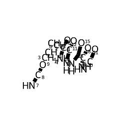 C.C.C.C.N=C=O.N=C=O.N=C=O.N=C=O.N=C=O.N=C=O